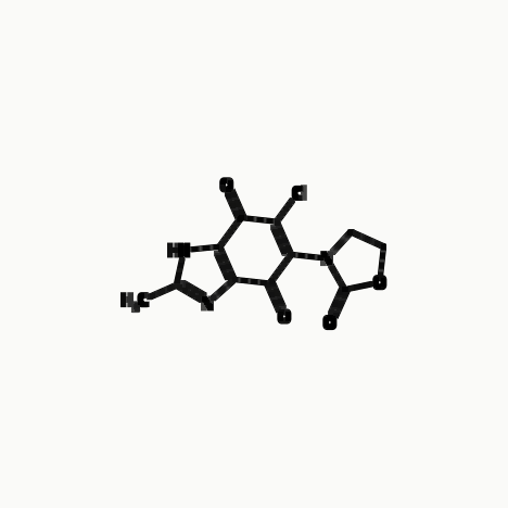 Cc1nc2c([nH]1)C(=O)C(Cl)=C(N1CCOC1=O)C2=O